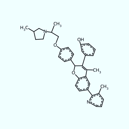 CC1=C(c2cccc(O)c2)C(c2ccc(OCC(C)N3CCC(C)C3)cc2)Oc2ccc(-c3ncccc3C)cc21